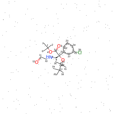 CC(C)(C)OC(=O)[C@@](CNCC=O)(O[Si](C)(C)C(C)(C)C)c1cccc(Cl)c1